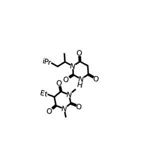 CC(C)CC(C)N1C(=O)CC(=O)NC1=O.CCC1C(=O)N(C)C(=O)N(C)C1=O